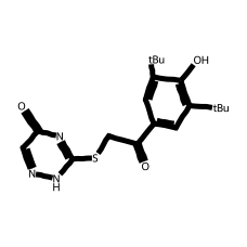 CC(C)(C)c1cc(C(=O)CSc2nc(=O)cn[nH]2)cc(C(C)(C)C)c1O